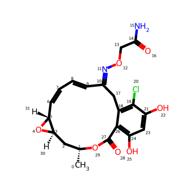 C[C@@H]1C[C@H]2O[C@@H]2/C=C\C=C\C(=NOCC(N)=O)Cc2c(Cl)c(O)cc(O)c2C(=O)O1